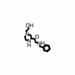 O=C(CNCc1ccccc1)C1CN(CCO)CCN1